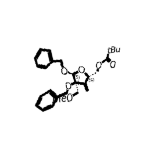 C=C1[C@@H](COC(=O)C(C)(C)C)O[C@H](OCc2ccccc2)[C@]1(COC)OCc1ccccc1